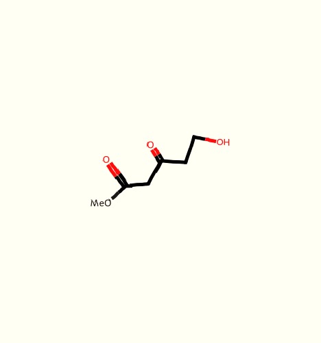 COC(=O)CC(=O)CCO